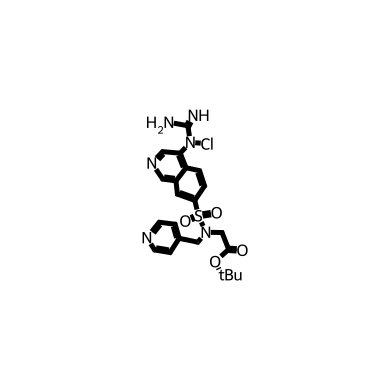 CC(C)(C)OC(=O)CN(Cc1ccncc1)S(=O)(=O)c1ccc2c(N(Cl)C(=N)N)cncc2c1